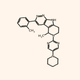 Cc1ccccc1-c1cc2c3c([nH]c2nn1)CCN(c1ncc(N2CCCCC2)cn1)C3C